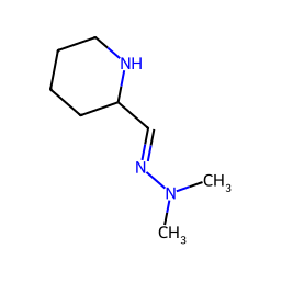 CN(C)N=CC1CCCCN1